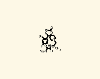 CNC(=O)C(=O)N[C@@H](C)CN1CCC2(CC1)OC(=O)NN=C2c1ccc(F)cc1Br